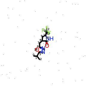 CC(C)c1nnc(CC2CC(C(F)(F)F)NC2=O)o1